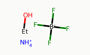 CCO.F[B-](F)(F)F.[NH4+]